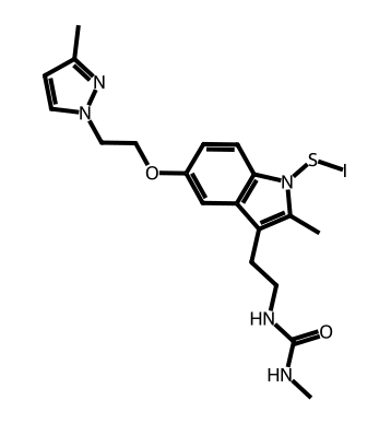 CNC(=O)NCCc1c(C)n(SI)c2ccc(OCCn3ccc(C)n3)cc12